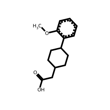 COc1ccccc1C1CCC(CC(=O)O)CC1